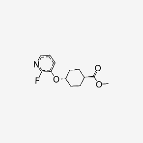 COC(=O)[C@H]1CC[C@H](Oc2cccnc2F)CC1